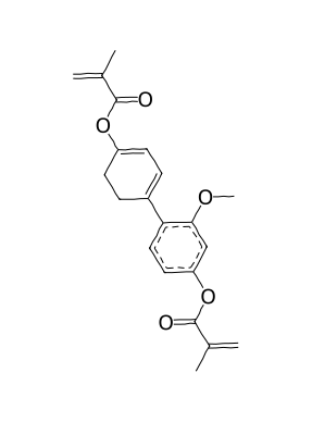 C=C(C)C(=O)OC1=CC=C(c2ccc(OC(=O)C(=C)C)cc2OC)CC1